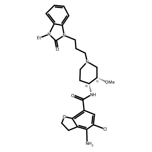 CCn1c(=O)n(CCCN2CC[C@@H](NC(=O)c3cc(Cl)c(N)c4c3OCC4)[C@@H](OC)C2)c2ccccc21